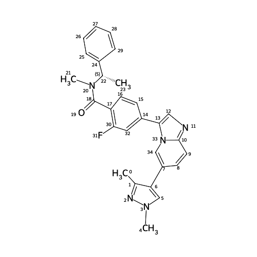 Cc1nn(C)cc1-c1ccc2ncc(-c3ccc(C(=O)N(C)[C@@H](C)c4ccccc4)c(F)c3)n2c1